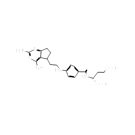 Nc1nc(N)c2c(n1)CCC2CCNc1ccc(C(=O)N[C@@H](CCC(=O)O)C(=O)O)cc1